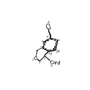 OC1COCc2cc(Cl)ccc21